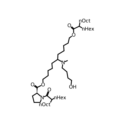 CCCCCCCCC(CCCCCC)C(=O)OCCCCCC(CCCCCOC(=O)[C@@H]1CCCN1C(=O)C(CCCCCC)CCCCCCCC)N(C)CCCCO